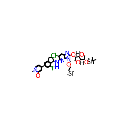 Cn1ccc(-c2cc(F)c3c(c2)CCC3Nc2nc3c(cc2Cl)nc(O[C@@H]2CO[C@H]4[C@@H]2OC[C@H]4O[Si](C)(C)C(C)(C)C)n3COCC[Si](C)(C)C)cc1=O